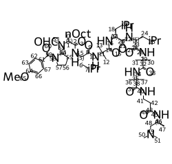 CCCCCCCC[C@@H](C(=O)N[C@@H](CC(C)C)C(=O)NC(C)(C)C(=O)N[C@@H](CC(C)C)C(=O)N[C@@H](CC(C)C)C(=O)NC(C)(C)C(=O)NC(C)(C)C(=O)NCCC(=O)N[C@@H](C)CN(C)C)N(C=O)[C@@H]1CCCN1C(=O)c1ccc(OC)cc1